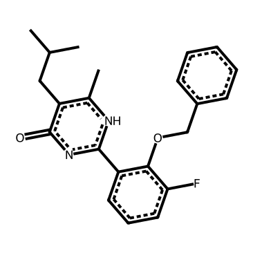 Cc1[nH]c(-c2cccc(F)c2OCc2ccccc2)nc(=O)c1CC(C)C